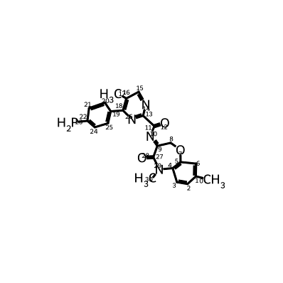 Cc1ccc2c(c1)OC/C(=N\C(=O)c1ncc(C)c(-c3ccc(P)cc3)n1)C(=O)N2C